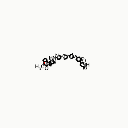 CN(C)C(=O)c1cc2cnc(Nc3ccc(N4CCC(N5CCN(Cc6ccc(C7CCC(=O)NC7=O)c(F)c6)CC5)CC4)cn3)nc2n1C1CCCC1